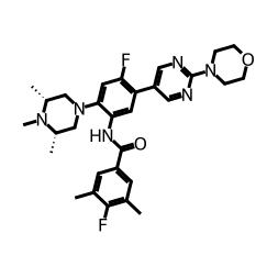 Cc1cc(C(=O)Nc2cc(-c3cnc(N4CCOCC4)nc3)c(F)cc2N2C[C@@H](C)N(C)[C@@H](C)C2)cc(C)c1F